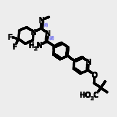 C/N=C(\N=C(/N)c1ccc(-c2ccc(OCC(C)(C)C(=O)O)nc2)cc1)N1CCC(F)(F)CC1